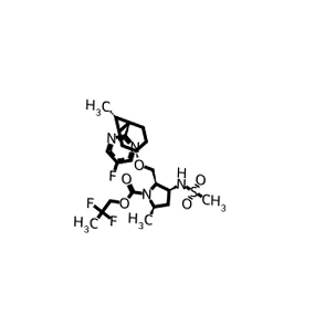 C[C@@H]1C[C@H](NS(C)(=O)=O)[C@H](CO[C@H]2CC[C@]3(c4ncc(F)cn4)C(C2)[C@@H]3C)N1C(=O)OCC(C)(F)F